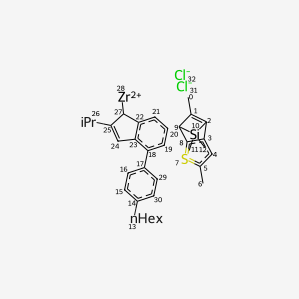 CC1=C2c3cc(C)sc3C1[Si]2(C)C.CCCCCCc1ccc(-c2cccc3c2C=C(C(C)C)[CH]3[Zr+2])cc1.[Cl-].[Cl-]